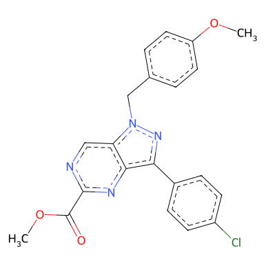 COC(=O)c1ncc2c(n1)c(-c1ccc(Cl)cc1)nn2Cc1ccc(OC)cc1